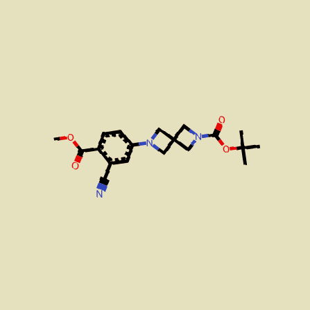 COC(=O)c1ccc(N2CC3(CN(C(=O)OC(C)(C)C)C3)C2)cc1C#N